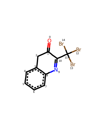 O=C1Cc2ccccc2N=C1C(Br)(Br)Br